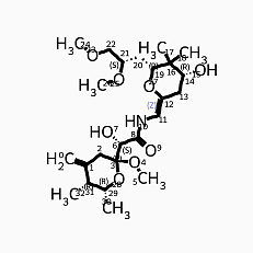 C=C1C[C@](OC)([C@H](O)C(=O)N/C=C2/C[C@@H](O)C(C)(C)[C@@H](C[C@@H](COC)OC)O2)O[C@H](C)[C@@H]1C